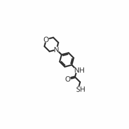 O=C(CS)Nc1ccc(N2CCOCC2)cc1